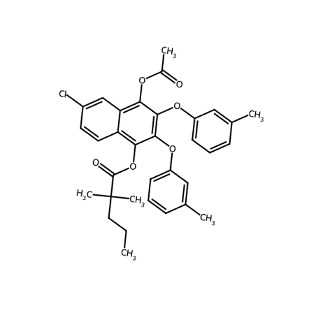 CCCC(C)(C)C(=O)Oc1c(Oc2cccc(C)c2)c(Oc2cccc(C)c2)c(OC(C)=O)c2cc(Cl)ccc12